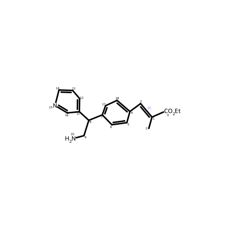 CCOC(=O)/C(C)=C/c1ccc(C(CN)c2cccnc2)cc1